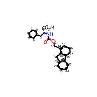 O=C(N[C@H](Cc1ccccc1)C(=O)O)OCc1cccc2c1Cc1ccccc1-2